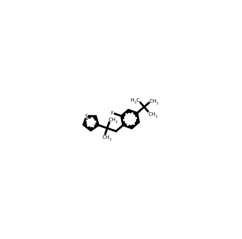 CC(C)(C)c1ccc(CC(C)(C)c2ccsc2)c(F)c1